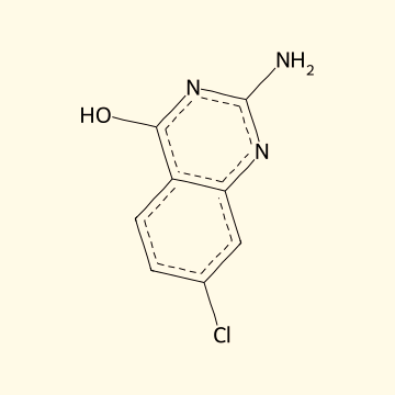 Nc1nc(O)c2ccc(Cl)cc2n1